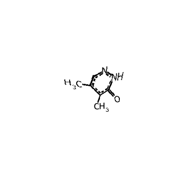 Cc1cn[nH]c(=O)c1C